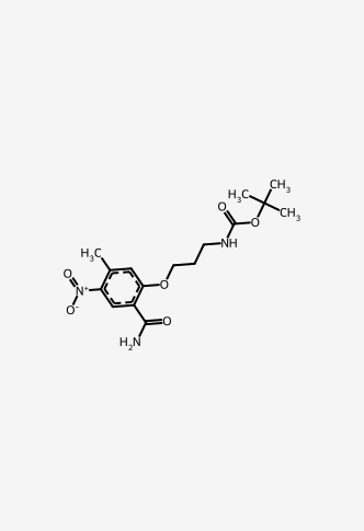 Cc1cc(OCCCNC(=O)OC(C)(C)C)c(C(N)=O)cc1[N+](=O)[O-]